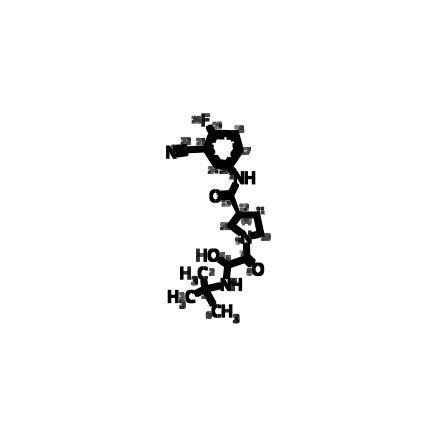 CC(C)(C)NC(O)C(=O)N1CC[C@H](C(=O)Nc2ccc(F)c(C#N)c2)C1